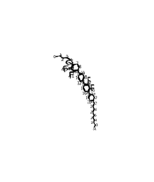 CCC/C=C\Oc1ccc(-c2ccc(-c3ccc(C4=CCC(CCCCCCCCCC)CC4)c(F)c3F)cc2)c(F)c1F